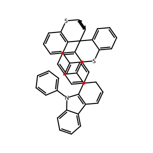 C1=Cc2c(n(-c3ccccc3)c3ccccc23)C(c2cccc3c2Sc2ccccc2C32c3ccccc3Sc3cccc(-c4ccccc4)c32)C1